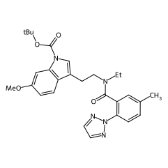 CCN(CCc1cn(C(=O)OC(C)(C)C)c2cc(OC)ccc12)C(=O)c1cc(C)ccc1-n1nccn1